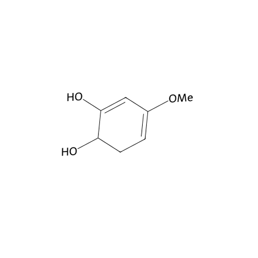 COC1=CCC(O)C(O)=C1